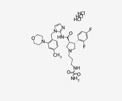 Cc1ccc(Cn2ccnc2NC(=O)[C@@H]2CN(CCCNS(N)(=O)=O)C[C@H]2c2ccc(F)cc2F)c(N2CCOCC2)c1.Cl.Cl.Cl